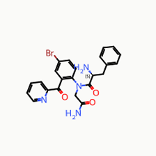 NC(=O)CN(C(=O)[C@@H](N)Cc1ccccc1)c1ccc(Br)cc1C(=O)c1ccccn1